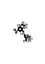 O=C(O)C(CCNCc1cc([N+](=O)[O-])cc2[nH]c(=O)c(=O)[nH]c12)P(=O)(O)O